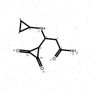 NC(=O)CC(NC1CC1)[C]1C(=O)C1=O